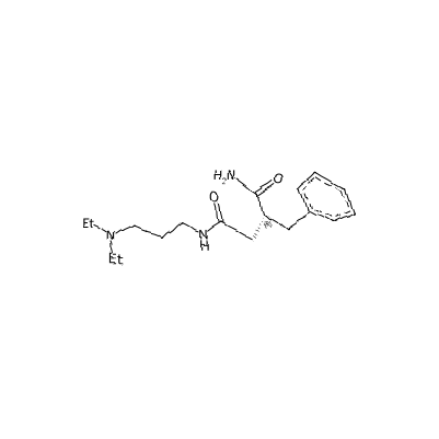 CCN(CC)CCCNC(=O)C[C@@H](Cc1ccccc1)C(N)=O